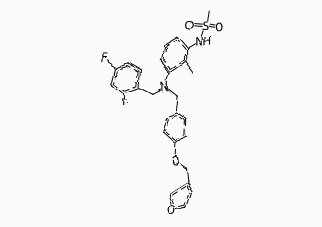 Cc1c(NS(C)(=O)=O)cccc1N(Cc1ccc(OCc2ccoc2)cc1)Cc1ccc(F)cc1F